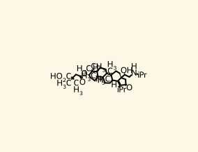 CC(C)NC[C@H](O)[C@@]12CC[C@]3(C)[C@H](CC[C@@H]4[C@@]5(C)CC[C@H](OC(=O)CC(C)(C)C(=O)O)C(C)(C)[C@@H]5CC[C@]43C)C1=C(C(C)C)C(=O)C2